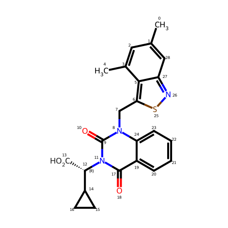 Cc1cc(C)c2c(Cn3c(=O)n([C@@H](C(=O)O)C4CC4)c(=O)c4ccccc43)snc2c1